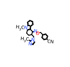 Cc1nccn1CC1CCc2c(c3ccccc3n2C)/C1=N/OCc1ccc(C#N)cc1